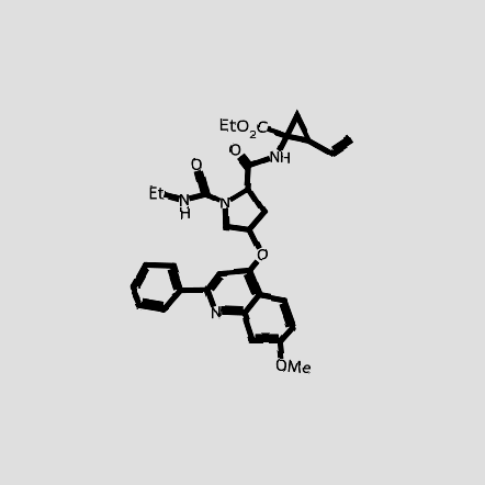 C=CC1CC1(NC(=O)C1CC(Oc2cc(-c3ccccc3)nc3cc(OC)ccc23)CN1C(=O)NCC)C(=O)OCC